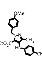 CCOC(=O)c1c(Nc2ccc(C#N)cc2)c(C)nn1Cc1ccc(OC)cc1